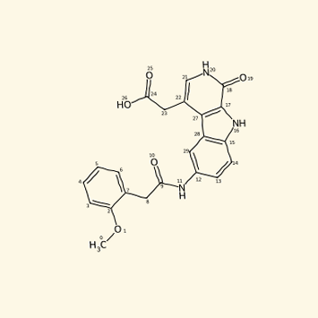 COc1ccccc1CC(=O)Nc1ccc2[nH]c3c(=O)[nH]cc(CC(=O)O)c3c2c1